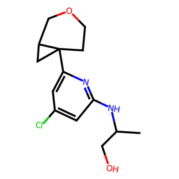 CC(CO)Nc1cc(Cl)cc(C23CCOCC2C3)n1